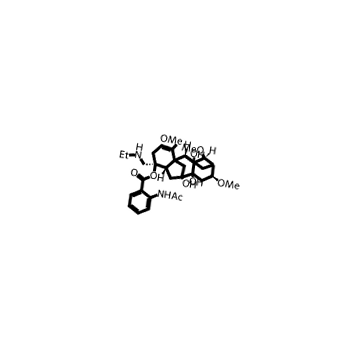 CCNC[C@]1(OC(=O)c2ccccc2NC(C)=O)CC=C(OC)C23CC(O)(C[C@@H]21)[C@@]1(O)C[C@H](OC)C2C[C@@H]3[C@]1(O)[C@H]2OC